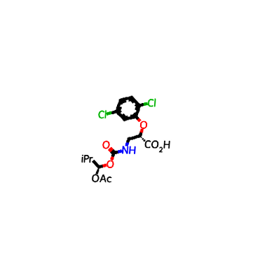 CC(=O)O[C@H](OC(=O)NC[C@H](Oc1cc(Cl)ccc1Cl)C(=O)O)C(C)C